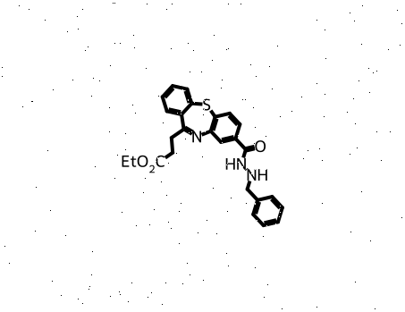 CCOC(=O)CCC1=Nc2cc(C(=O)NNCc3ccccc3)ccc2Sc2ccccc21